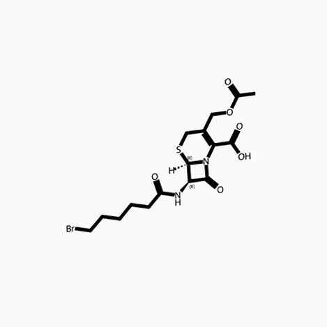 CC(=O)OCC1=C(C(=O)O)N2C(=O)[C@@H](NC(=O)CCCCCBr)[C@H]2SC1